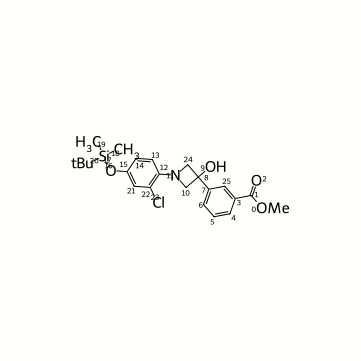 COC(=O)c1cccc(C2(O)CN(c3ccc(O[Si](C)(C)C(C)(C)C)cc3Cl)C2)c1